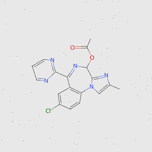 CC(=O)OC1N=C(c2ncccn2)c2cc(Cl)ccc2-n2cc(C)nc21